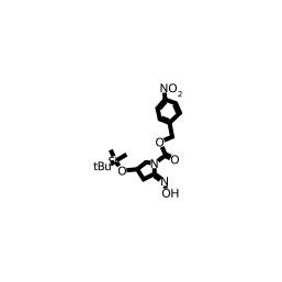 CC(C)(C)[Si](C)(C)OC1CC(=NO)N(C(=O)OCc2ccc([N+](=O)[O-])cc2)C1